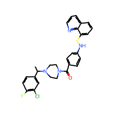 CC(c1ccc(F)c(Cl)c1)N1CCN(C(=O)c2ccc(NSc3cccc4cccnc34)cc2)CC1